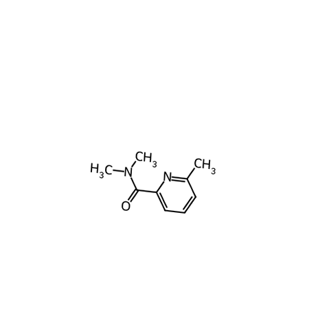 Cc1cccc(C(=O)N(C)C)n1